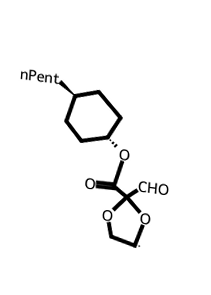 CCCCC[C@H]1CC[C@H](OC(=O)C2(C=O)O[CH]CO2)CC1